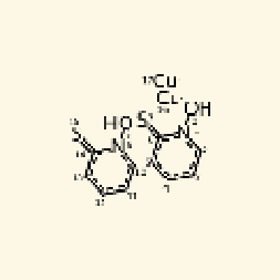 On1ccccc1=S.On1ccccc1=S.[Cu].[Cu]